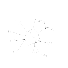 COC1CC(C)(C)C(O)C(C)C23C=CC(=O)C2C1(C)C(C)CC3